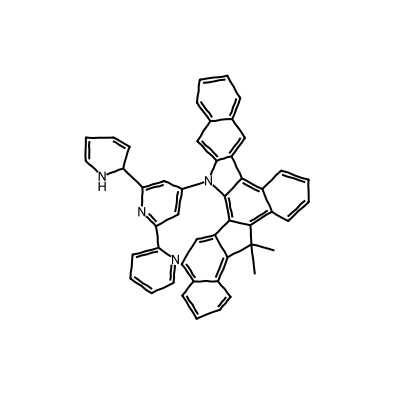 CC1(C)c2c(ccc3ccccc23)-c2c1c1ccccc1c1c3cc4ccccc4cc3n(-c3cc(-c4ccccn4)nc(C4C=CC=CN4)c3)c21